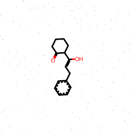 O=C1CCCCC1C(O)=CCc1ccccc1